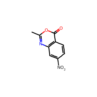 Cc1nc2cc([N+](=O)[O-])ccc2c(=O)o1